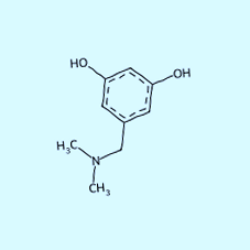 CN(C)Cc1cc(O)cc(O)c1